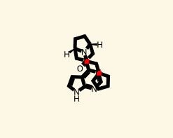 O=C(CC1CCCC1)N1[C@@H]2CC[C@H]1CN(c1ncnc3[nH]ccc13)C2